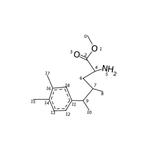 COC(=O)C(N)CC(C)C(C)c1ccc(C)c(C)c1